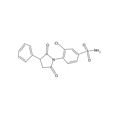 NS(=O)(=O)c1ccc(N2C(=O)CC(c3ccccc3)C2=O)c(Cl)c1